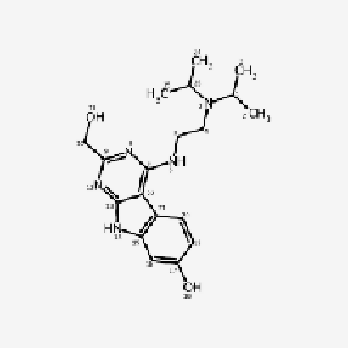 CC(C)N(CCNc1nc(CO)nc2[nH]c3cc(O)ccc3c12)C(C)C